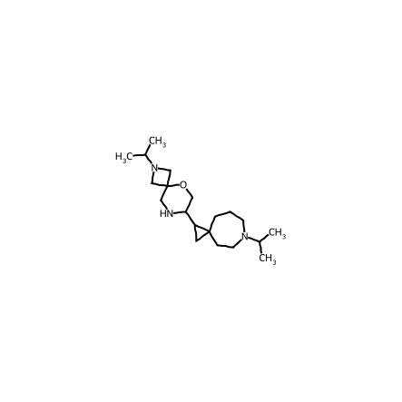 CC(C)N1CCCC2(CC1)CC2C1COC2(CN1)CN(C(C)C)C2